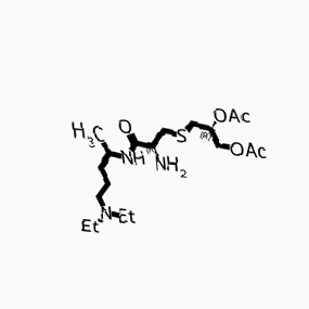 CCN(CC)CCCC(C)NC(=O)[C@@H](N)CSC[C@@H](COC(C)=O)OC(C)=O